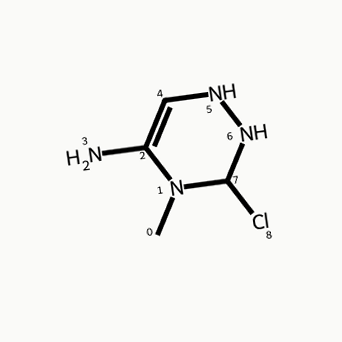 CN1C(N)=CNNC1Cl